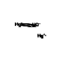 [Hg+].[OH-].[Se]=[Hg]